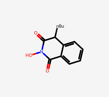 CCCCC1C(=O)N(O)C(=O)c2ccccc21